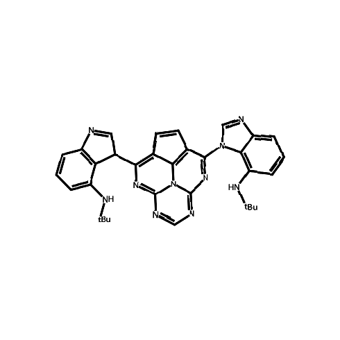 CC(C)(C)Nc1cccc2c1C(c1nc3ncnc4nc(-n5cnc6cccc(NC(C)(C)C)c65)c5ccc1c5n34)C=N2